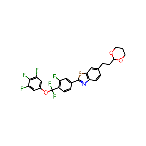 Fc1cc(-c2nc3ccc(CCC4OCCCO4)cc3s2)ccc1C(F)(F)Oc1cc(F)c(F)c(F)c1